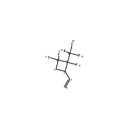 C=CC1CC(F)(F)C1(F)C(F)(F)F